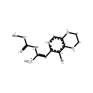 CC(C)(C)OC(=O)N/C(=C\c1ncc2c(c1Br)OCCO2)C(=O)O